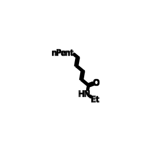 CCCCCC=CC=CC(=O)NCC